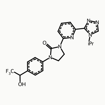 CC(C)n1cnnc1-c1cccc(N2CCN(c3ccc(C(O)C(F)(F)F)cc3)C2=O)n1